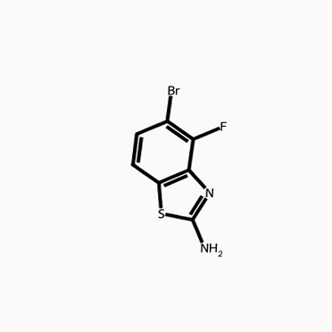 Nc1nc2c(F)c(Br)ccc2s1